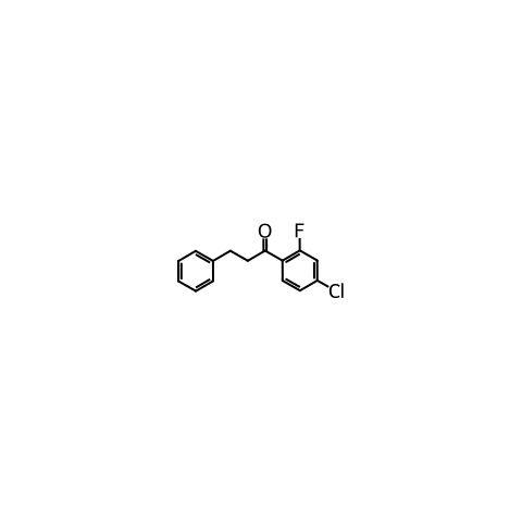 O=C(CCc1ccccc1)c1ccc(Cl)cc1F